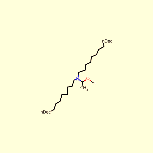 CCCCCCCCCCCCCCCCCCN(CCCCCCCCCCCCCCCCCC)C(C)OCC